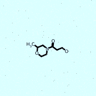 CC1CN(C(=O)CC[O])CCO1